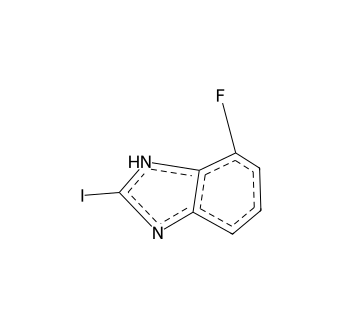 Fc1cccc2nc(I)[nH]c12